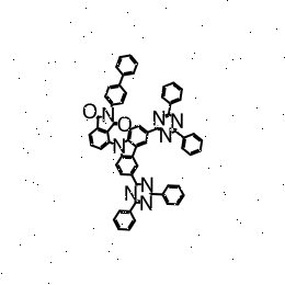 O=C1c2cccc(-n3c4ccc(-c5nc(-c6ccccc6)nc(-c6ccccc6)n5)cc4c4cc(-c5nc(-c6ccccc6)nc(-c6ccccc6)n5)ccc43)c2C(=O)N1c1ccc(-c2ccccc2)cc1